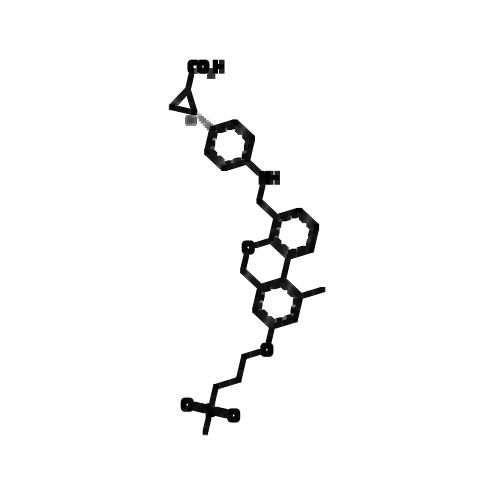 Cc1cc(OCCCS(C)(=O)=O)cc2c1-c1cccc(CNc3ccc([C@@H]4CC4C(=O)O)cc3)c1OC2